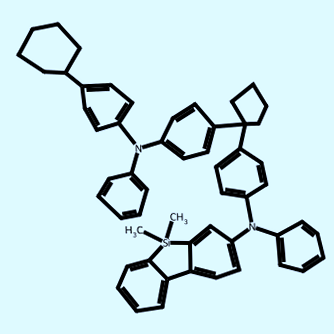 C[Si]1(C)c2ccccc2-c2ccc(N(c3ccccc3)c3ccc(C4(c5ccc(N(c6ccccc6)c6ccc(C7CCCCC7)cc6)cc5)CCCC4)cc3)cc21